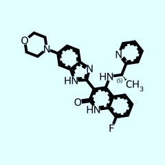 C[C@H](Nc1c(-c2nc3ccc(N4CCOCC4)cc3[nH]2)c(=O)[nH]c2c(F)cccc12)c1ccccn1